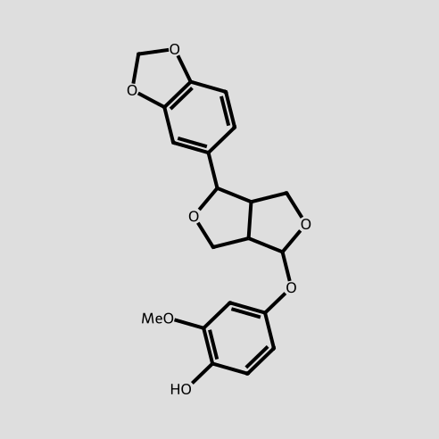 COc1cc(OC2OCC3C(c4ccc5c(c4)OCO5)OCC23)ccc1O